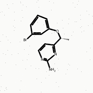 C[C@@H](Oc1cccc(Br)c1)c1ccnc(N)n1